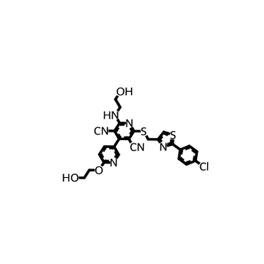 [C-]#[N+]c1c(NCCO)nc(SCc2csc(-c3ccc(Cl)cc3)n2)c(C#N)c1-c1ccc(OCCO)nc1